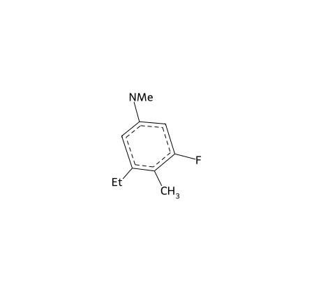 CCc1cc(NC)cc(F)c1C